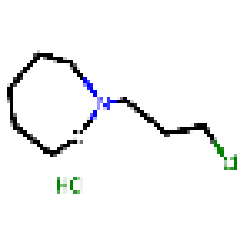 Cl.ClCCCN1CCCCCC1